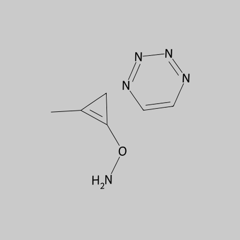 CC1=C(ON)C1.c1cnnnn1